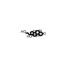 C[C@]12CCC(=O)C[C@@H]1CC[C@@H]1[C@@H]2CC[C@@]2(C)[C@H]1CC[C@@]2(O)CCCO